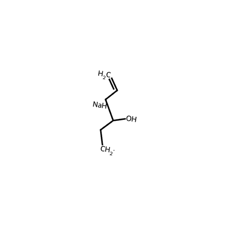 [CH2]CC(O)CC=C.[NaH]